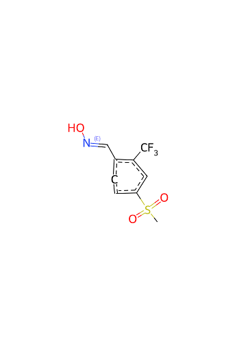 CS(=O)(=O)c1ccc(/C=N/O)c(C(F)(F)F)c1